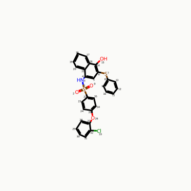 O=S(=O)(Nc1cc(Sc2ccccc2)c(O)c2ccccc12)c1ccc(Oc2ccccc2Cl)cc1